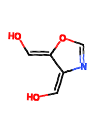 OC=c1ncoc1=CO